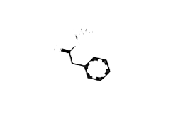 COSC(=O)Cc1ccccc1